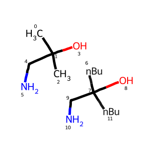 CC(C)(O)CN.CCCCC(O)(CN)CCCC